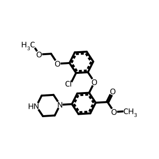 COCOc1cccc(Oc2cc(N3CCNCC3)ccc2C(=O)OC)c1Cl